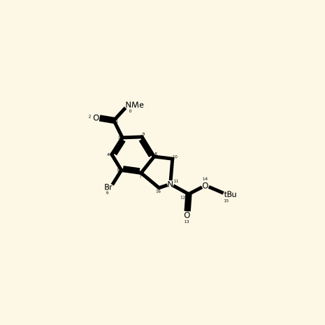 CNC(=O)c1cc(Br)c2c(c1)CN(C(=O)OC(C)(C)C)C2